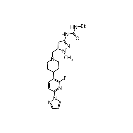 CCNC(=O)Nc1cc(CN2CCC(c3ccc(-n4cccn4)nc3F)CC2)n(C)n1